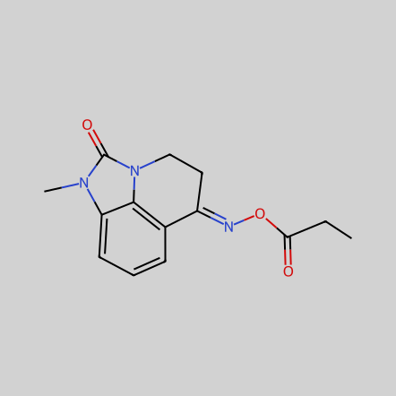 CCC(=O)O/N=C1\CCn2c(=O)n(C)c3cccc1c32